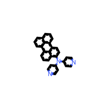 c1cc2cccc3c4ccc(N(c5ccncc5)c5ccncc5)c5cccc(c(c1)c23)c54